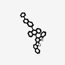 c1ccc(-c2ccc3cc(-c4c5ccccc5c(-c5cc6c7ccc8ccccc8c7oc6c6sc7ccccc7c56)c5ccccc45)ccc3c2)cc1